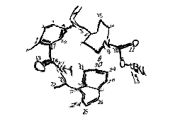 Cc1ccc(NC2CCN(C(=O)OC(C)(C)C)CC2)cc1C(=O)NC(C)c1cccc2ccccc12